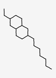 CCCCCCCC1CCC2CC(CC)CCC2C1